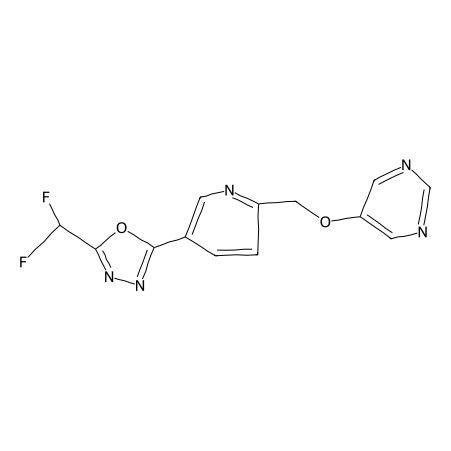 FC(F)c1nnc(-c2ccc(COc3cncnc3)nc2)o1